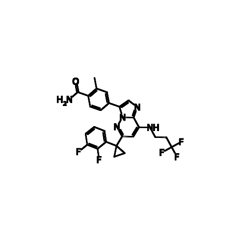 Cc1cc(-c2cnc3c(NCCC(F)(F)F)cc(C4(c5cccc(F)c5F)CC4)nn23)ccc1C(N)=O